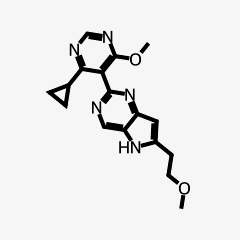 COCCc1cc2nc(-c3c(OC)ncnc3C3CC3)ncc2[nH]1